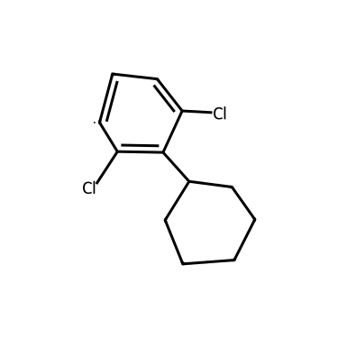 Clc1[c]ccc(Cl)c1C1CCCCC1